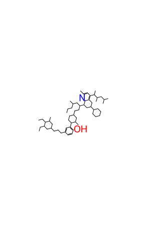 CCCC(C)CC(CCC1CCC(c2cc(CCCC3CC(C)C(CC)C(CC)C3)ccc2O)C(C)C1)C1CC(C2CCCCC2)Cc2c(C(C)C(C)CC(C)C)cc(C)nc21